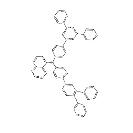 c1ccc(-c2cc(-c3ccccc3)cc(-c3ccc(N(c4ccc(-c5ccc(-c6ccccc6)c(-c6ccccc6)c5)cc4)c4cccc5ccccc45)cc3)c2)cc1